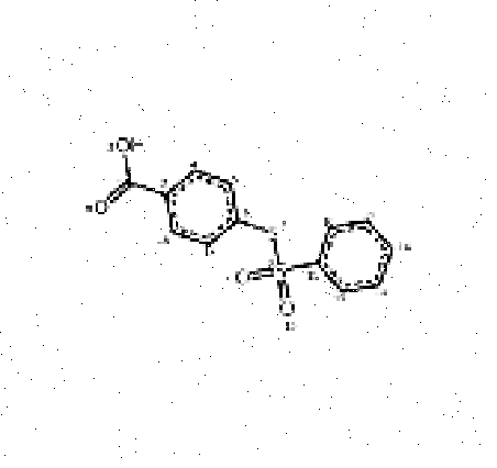 O=C(O)c1ccc(SS(=O)(=O)c2ccccc2)cc1